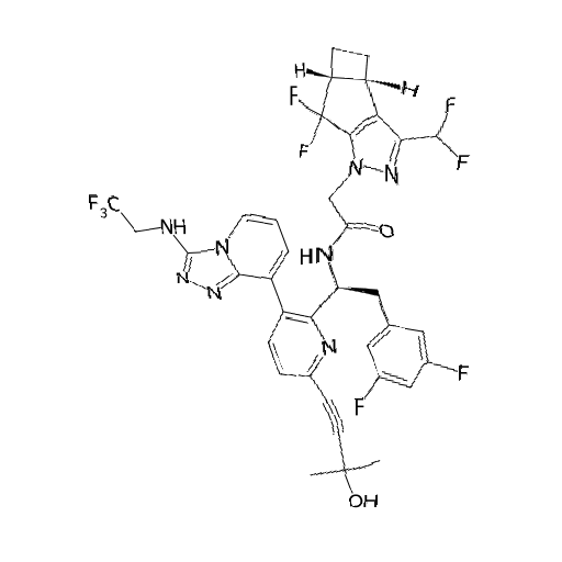 CC(C)(O)C#Cc1ccc(-c2cccn3c(NCC(F)(F)F)nnc23)c([C@H](Cc2cc(F)cc(F)c2)NC(=O)Cn2nc(C(F)F)c3c2C(F)(F)[C@@H]2CC[C@H]32)n1